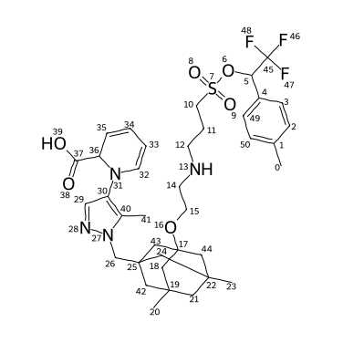 Cc1ccc(C(OS(=O)(=O)CCCNCCOC23CC4(C)CC(C)(CC(Cn5ncc(N6C=CC=CC6C(=O)O)c5C)(C4)C2)C3)C(F)(F)F)cc1